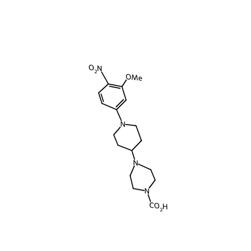 COc1cc(N2CCC(N3CCN(C(=O)O)CC3)CC2)ccc1[N+](=O)[O-]